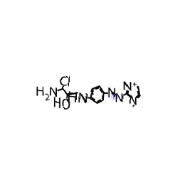 Cn1cc[n+](C)c1/N=N/c1ccc(NCC(O)C(N)Cl)cc1